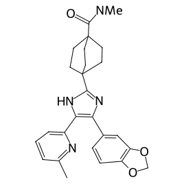 CNC(=O)C12CCC(c3nc(-c4ccc5c(c4)OCO5)c(-c4cccc(C)n4)[nH]3)(CC1)CC2